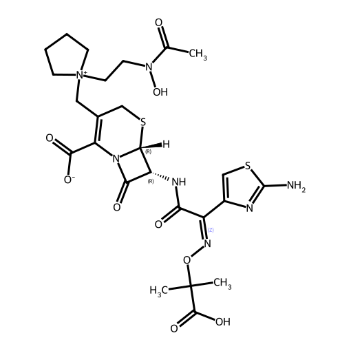 CC(=O)N(O)CC[N+]1(CC2=C(C(=O)[O-])N3C(=O)[C@@H](NC(=O)/C(=N\OC(C)(C)C(=O)O)c4csc(N)n4)[C@H]3SC2)CCCC1